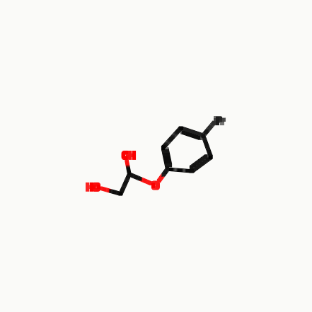 CC(C)c1ccc(OC(O)CO)cc1